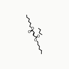 CCCC.CCCCCCOC(=O)/C=C/C(=O)OCCCCCC